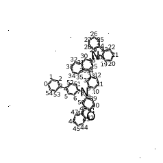 c1ccc(-c2ccc(N(c3cccc(-c4cc(-n5c6ccccc6c6ccccc65)cc5ccccc45)c3)c3ccc4oc5ccccc5c4c3)cc2)cc1